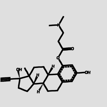 C#C[C@]1(O)CC[C@H]2[C@@H]3CCc4cc(O)cc(OC(=O)CCN(C)C)c4[C@H]3CCC21C